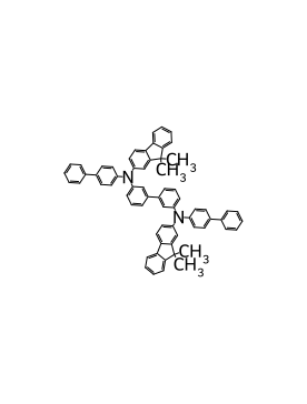 CC1(C)c2ccccc2-c2ccc(N(c3ccc(-c4ccccc4)cc3)c3cccc(-c4cccc(N(c5ccc(-c6ccccc6)cc5)c5ccc6c(c5)C(C)(C)c5ccccc5-6)c4)c3)cc21